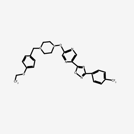 FC(F)(F)COc1ccc(CN2CCN(Oc3cnc(-c4nc(-c5ccc(C(F)(F)F)cc5)no4)cn3)CC2)cc1